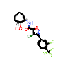 O=C(N[C@H]1CCCC[C@@H]1O)c1onc(-c2ccc(C(F)(F)F)c(F)c2)c1Cl